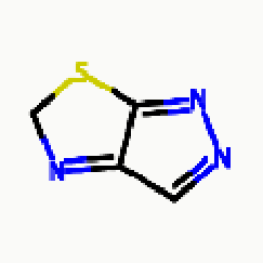 C1=NN=C2SCN=C12